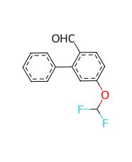 O=Cc1ccc(OC(F)F)cc1-c1ccccc1